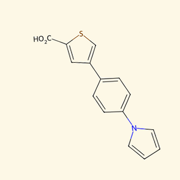 O=C(O)c1cc(-c2ccc(-n3cccc3)cc2)cs1